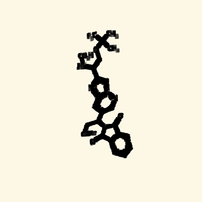 COCC(c1cnn2cc(C(COC(C)(C)C(F)(F)F)NC(=O)O)nc2c1)N1C(=O)c2ccccc2C1=O